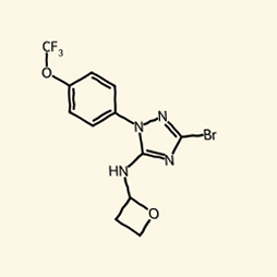 FC(F)(F)Oc1ccc(-n2nc(Br)nc2NC2CCO2)cc1